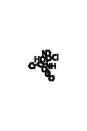 O=C(COc1ccccc1)NC(c1ccc(-c2ccccc2)cc1)c1cc(Cl)c2cccnc2c1O